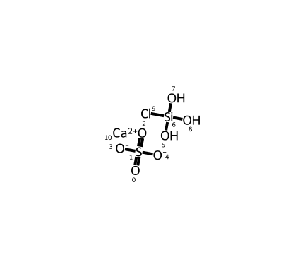 O=S(=O)([O-])[O-].O[Si](O)(O)Cl.[Ca+2]